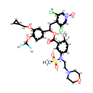 CS(=O)(=O)N(CCN1CCOCC1)c1ccc(C(F)(F)F)c(C(=O)OC(Cc2c(Cl)c[n+]([O-])cc2Cl)c2ccc(OC(F)F)c(OCC3CC3)c2)c1